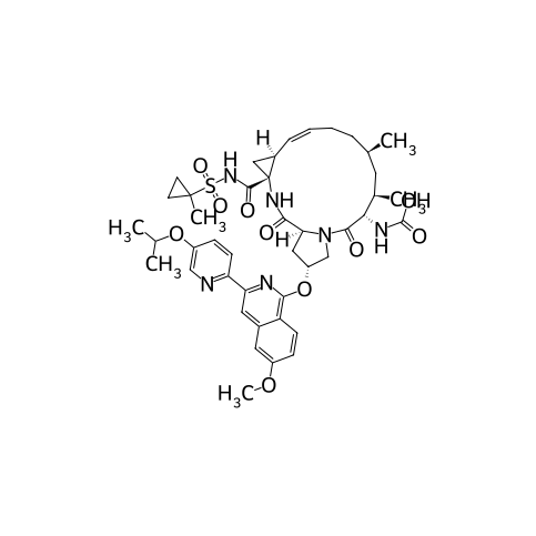 COc1ccc2c(O[C@@H]3C[C@H]4C(=O)N[C@]5(C(=O)NS(=O)(=O)C6(C)CC6)C[C@H]5C=CCC[C@@H](C)C[C@@H](C)[C@H](NC(=O)O)C(=O)N4C3)nc(-c3ccc(OC(C)C)cn3)cc2c1